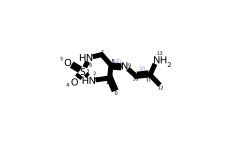 C=C1NS(=O)(=O)NC/C1=N/C=C(/C)N